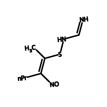 CCC/C(N=O)=C(\C)SNC=N